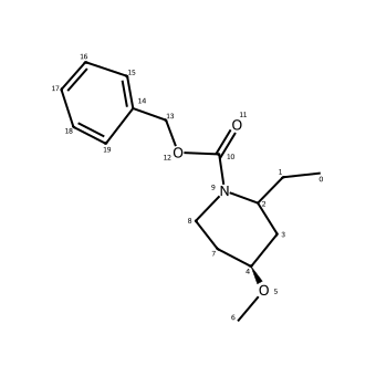 CCC1C[C@@H](OC)CCN1C(=O)OCc1ccccc1